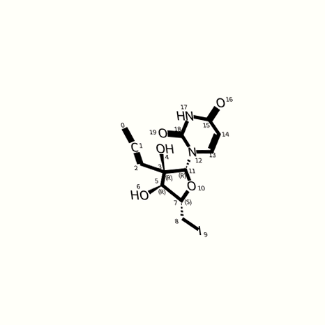 C=C=C[C@@]1(O)[C@H](O)[C@@H](CI)O[C@H]1n1ccc(=O)[nH]c1=O